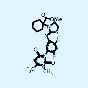 COC(=O)C1(N2C(=O)CSC2=Nc2cc(-n3c(=O)cc(C(F)(F)F)n(C)c3=O)c(F)cc2Cl)CCCCC1